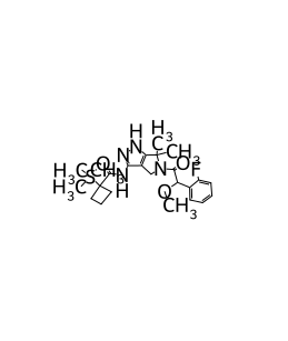 COC(C(=O)N1Cc2c(NC(=O)C3(S(C)(C)C)CCC3)n[nH]c2C1(C)C)c1ccccc1F